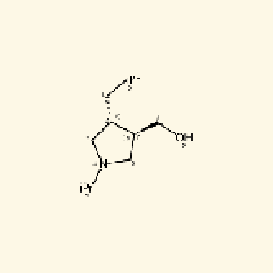 CC(C)C[C@H]1CN(C(C)C)C[C@@H]1CO